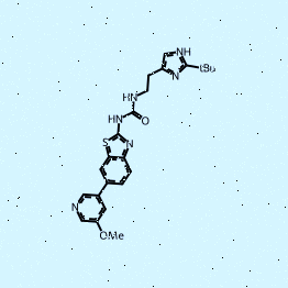 COc1cncc(-c2ccc3nc(NC(=O)NCCc4c[nH]c(C(C)(C)C)n4)sc3c2)c1